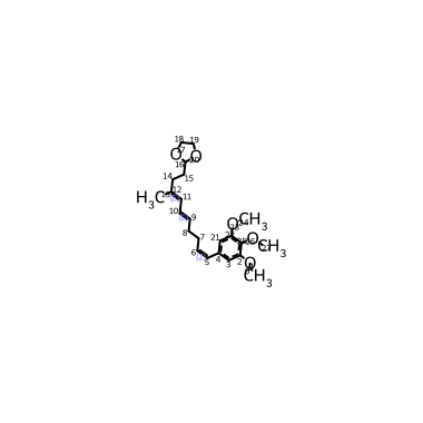 COc1cc(/C=C\CC/C=C/C=C(\C)CCC2OCCO2)cc(OC)c1OC